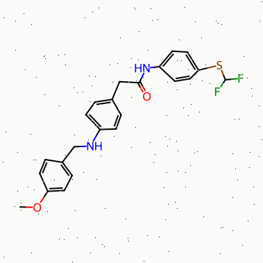 COc1ccc(CNc2ccc(CC(=O)Nc3ccc(SC(F)F)cc3)cc2)cc1